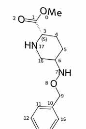 COC(=O)[C@@H]1CCC(NOCc2ccccc2)CN1